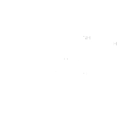 NC(CS)C(=O)OC1CCCCCCCC1